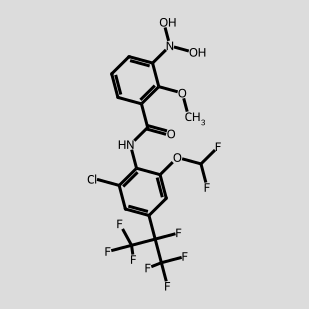 COc1c(C(=O)Nc2c(Cl)cc(C(F)(C(F)(F)F)C(F)(F)F)cc2OC(F)F)cccc1N(O)O